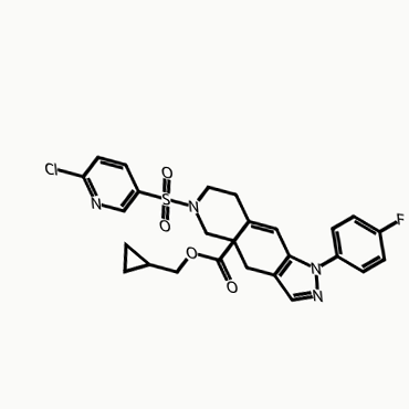 O=C(OCC1CC1)C12Cc3cnn(-c4ccc(F)cc4)c3C=C1CCN(S(=O)(=O)c1ccc(Cl)nc1)C2